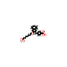 COC(=O)CCCCCCCOc1cc2c(cc1[Se]c1ccc(C(=O)O)cc1)C(C)(C)CCC2(C)C